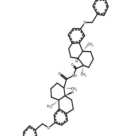 C[C@@]1(C(=O)NC(=O)[C@]2(C)CCC[C@]3(C)c4cc(OCc5ccccc5)ccc4CC[C@@H]23)CCC[C@]2(C)c3cc(OCc4ccccc4)ccc3CC[C@@H]12